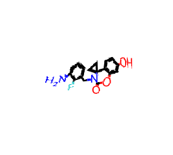 Nc1cccc(CN2C(=O)Oc3cc(O)ccc3C23CC3)c1F